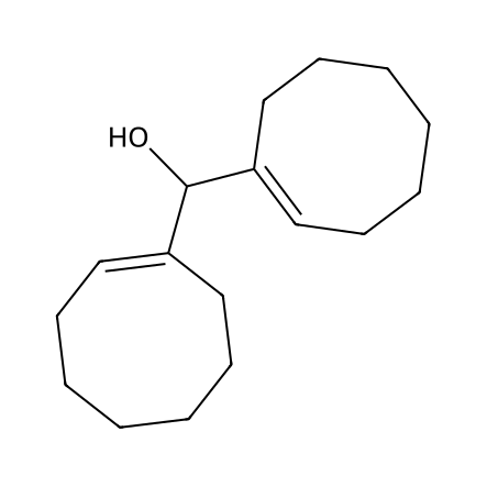 OC(C1=CCCCCCC1)C1=CCCCCCC1